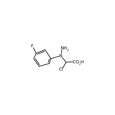 NN(c1cccc(F)c1)C(Cl)C(=O)O